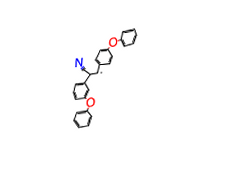 N#CC([CH]c1ccc(Oc2ccccc2)cc1)c1cccc(Oc2ccccc2)c1